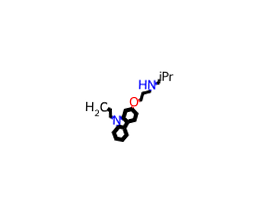 C=CCn1c2ccccc2c2ccc(OCCCNCC(C)C)cc21